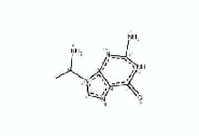 CC(N)n1cnc2c(=O)[nH]c(N)nc21